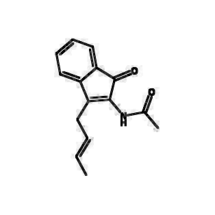 CC=CCC1=C(NC(C)=O)C(=O)c2ccccc21